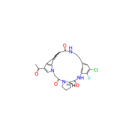 CC(=O)c1cn2c3ccc(cc13)C(=O)NCCc1cc(Cl)c(F)c(c1)NC(=O)[C@@H]1CCCN1C(=O)C2